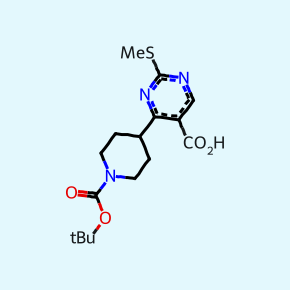 CSc1ncc(C(=O)O)c(C2CCN(C(=O)OC(C)(C)C)CC2)n1